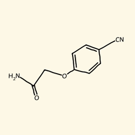 N#Cc1ccc(OCC(N)=O)cc1